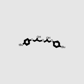 CC(C)(C)c1ccc(OCC(O)COCC(O)COc2ccc(C(C)(C)C)cc2)cc1